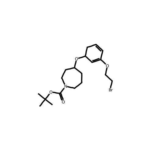 CC(C)(C)OC(=O)N1CCCC(OC2C=C(OCCBr)C=CC2)CC1